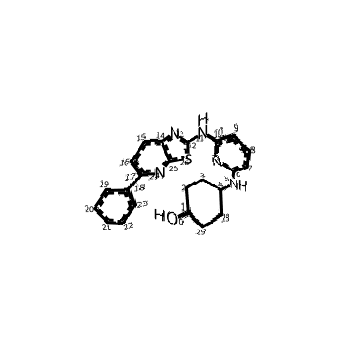 OC1CCC(Nc2cccc(Nc3nc4ccc(-c5ccccc5)nc4s3)n2)CC1